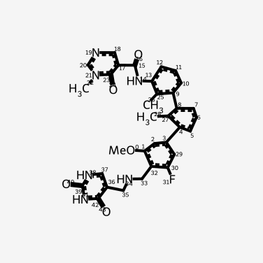 COc1cc(-c2cccc(-c3cccc(NC(=O)c4cncn(C)c4=O)c3C)c2C)cc(F)c1CNCc1c[nH]c(=O)[nH]c1=O